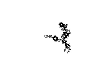 Cc1cc(CC(=O)N2C[C@@H](N3CCN(CC(F)(F)F)CC3)C[C@H]2CO[C@H]2CC[C@H](C=O)CC2)c(F)cc1NC(=O)c1cn(C)c2ccccc12